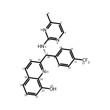 Cc1ccnc(N[C@H](c2ccc(C(F)(F)F)cc2)c2ccc3cccc(O)c3n2)n1